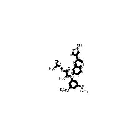 COc1cc(OC)cc(N(c2ccc3ncc(-c4cnn(C)c4)nc3c2)C(C)C(=O)N=NC(C)C)c1